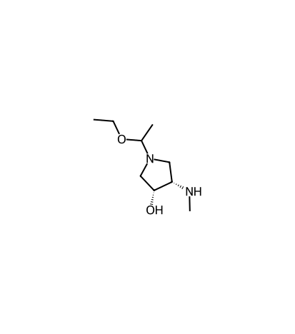 CCOC(C)N1C[C@@H](O)[C@@H](NC)C1